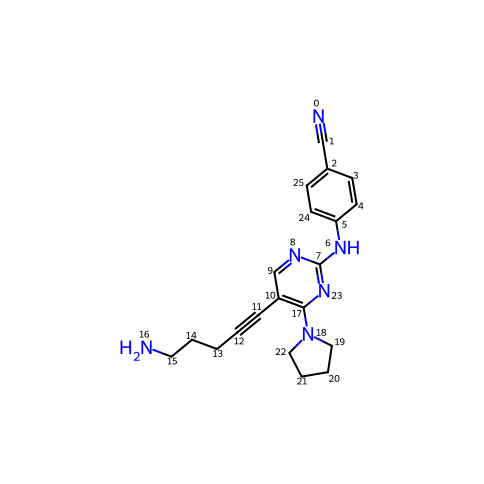 N#Cc1ccc(Nc2ncc(C#CCCCN)c(N3CCCC3)n2)cc1